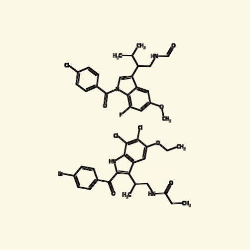 CCOc1cc2c(C(C)CNC(=O)CC)c(C(=O)c3ccc(Br)cc3)[nH]c2c(Cl)c1Cl.COc1cc(F)c2c(c1)c(C(CNC=O)C(C)C)cn2C(=O)c1ccc(Cl)cc1